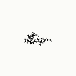 CCc1ccc(NC(=O)CSc2nnc(-c3ccco3)n2C(=O)OC(C)(C)C)cc1